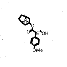 COc1ccc([C@@H](CO)C(=O)OC2CC3CCC(C2)N3C)cc1